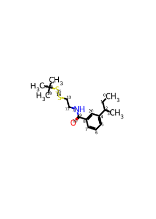 CCC(C)c1cccc(C(=O)NCCSSC(C)(C)C)c1